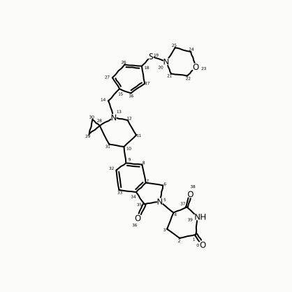 O=C1CCC(N2Cc3cc(C4CCN(Cc5ccc(SN6CCOCC6)cc5)C5(CC5)C4)ccc3C2=O)C(=O)N1